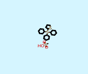 CS(=O)(=O)O.c1ccc(S(c2ccccc2)(c2ccccc2)c2cccs2)cc1